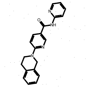 O=C(Nc1ccccn1)c1ccc(N2CCc3ccccc3C2)nc1